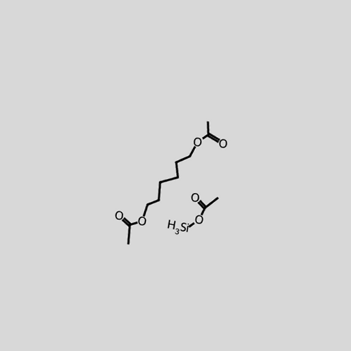 CC(=O)OCCCCCCOC(C)=O.CC(=O)O[SiH3]